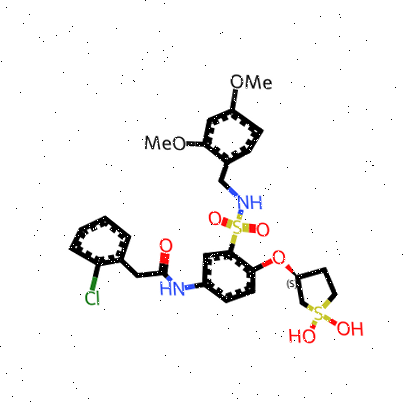 COc1ccc(CNS(=O)(=O)c2cc(NC(=O)Cc3ccccc3Cl)ccc2O[C@H]2CCS(O)(O)C2)c(OC)c1